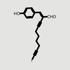 O=C/C(C#CCCCCC#CI)=C/c1ccc(O)cc1